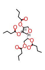 CCCC(=O)OCC(OC(=O)CCC)[C@H]1OC[C@H](OC(=O)CCC)[C@H]1OC(=O)CCC